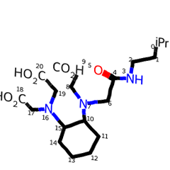 CC(C)CCNC(=O)CN(CC(=O)O)C1CCCCC1N(CC(=O)O)CC(=O)O